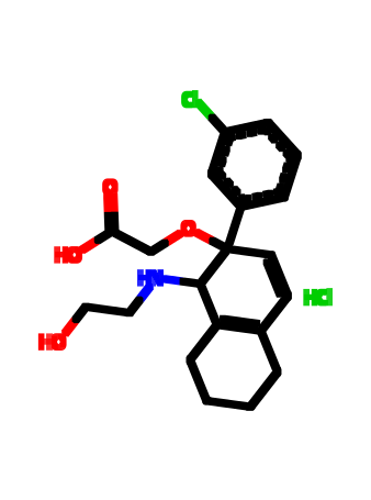 Cl.O=C(O)COC1(c2cccc(Cl)c2)C=CC2=C(CCCC2)C1NCCO